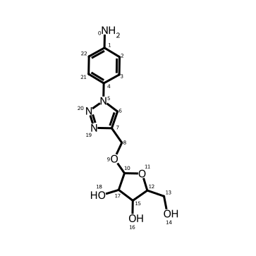 Nc1ccc(-n2cc(COC3OC(CO)C(O)C3O)nn2)cc1